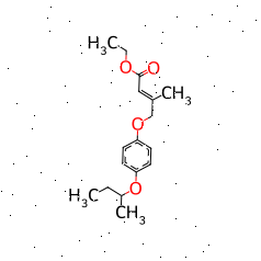 CCOC(=O)C=C(C)COc1ccc(OC(C)CC)cc1